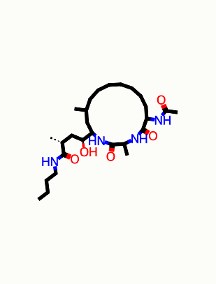 CCCCNC(=O)[C@H](C)C[C@H](O)C1CC(C)CCCCCCCC(NC(C)=O)C(=O)NC(C)C(=O)N1